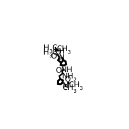 CC(=O)N(C)c1cccc(CC(N)C(=O)Nc2ccc3[nH]c(C(=O)OC(C)(C)C)cc3c2)c1